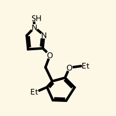 CCOc1cccc(CC)c1COc1ccn(S)n1